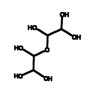 OC(O)C(O)OC(O)C(O)O